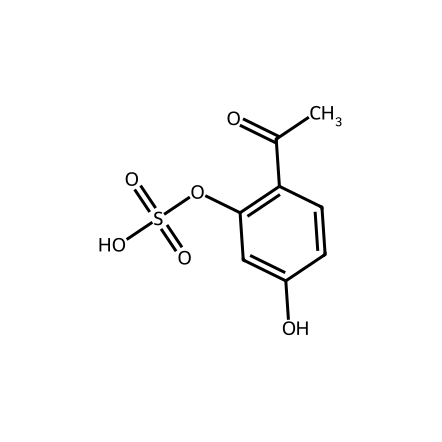 CC(=O)c1ccc(O)cc1OS(=O)(=O)O